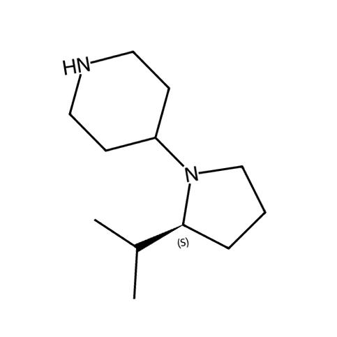 CC(C)[C@@H]1CCCN1C1CCNCC1